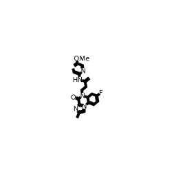 C=C(CCN1C(=O)c2nc(C)cn2C2=CC=C(F)CC21)NC(=C/C)/N=C\C(=C)OC